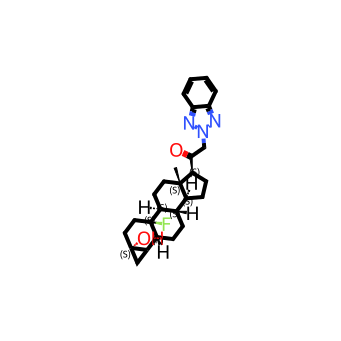 C[C@]12CC[C@H]3[C@@H](CC[C@@H]4C5C[C@@]5(O)CC[C@@]43F)[C@@H]1CC[C@@H]2C(=O)Cn1nc2ccccc2n1